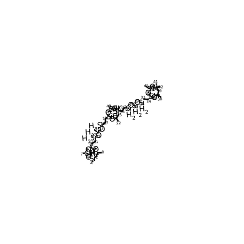 CC1C[SiH](C)O[SiH](C)O[SiH](CC[SiH2]O[SiH2]O[SiH2]CC[SiH]2OC(C)C[Si](C)(CC[SiH2]O[SiH2]O[SiH2]CC[SiH]3OC(C)C[Si](C)(C)O[SiH](C)O3)O[SiH](C)O2)O1